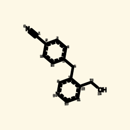 N#Cc1ccc(Cc2cnccc2CO)cc1